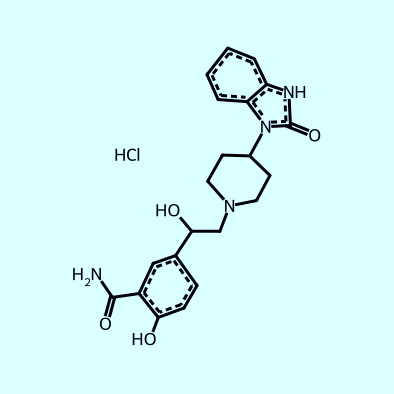 Cl.NC(=O)c1cc(C(O)CN2CCC(n3c(=O)[nH]c4ccccc43)CC2)ccc1O